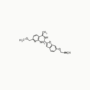 C#CCOc1ccc2cc(CNC(=C)c3ccc(COC)nc3N)oc2c1